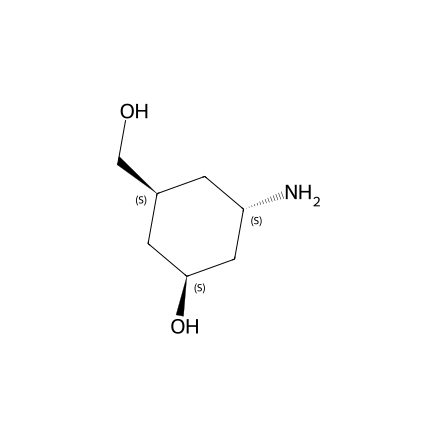 N[C@@H]1C[C@@H](O)C[C@@H](CO)C1